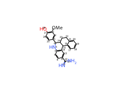 COc1cc(C2Nc3ccc(C(=N)N)cc3C3c4ccccc4CCC23)ccc1O